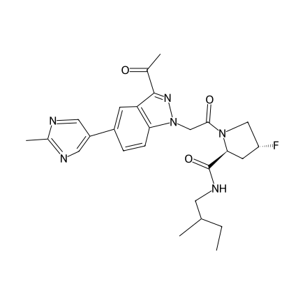 CCC(C)CNC(=O)[C@@H]1C[C@@H](F)CN1C(=O)Cn1nc(C(C)=O)c2cc(-c3cnc(C)nc3)ccc21